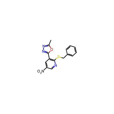 Cc1nnc(-c2cc([N+](=O)[O-])cnc2SCc2ccccc2)o1